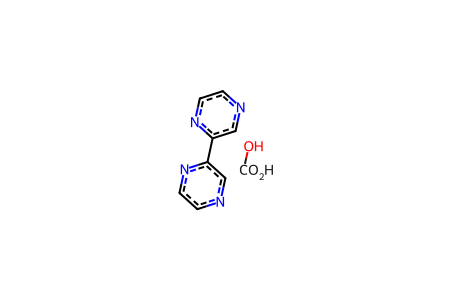 O=C(O)O.c1cnc(-c2cnccn2)cn1